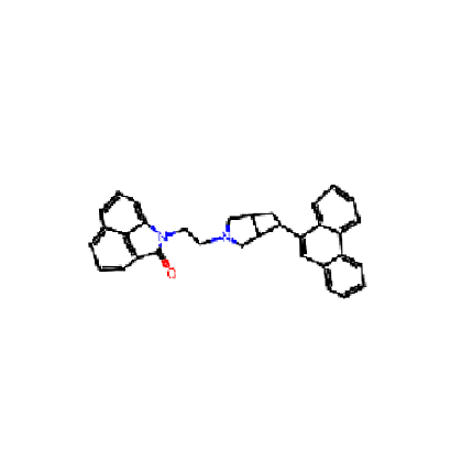 O=C1c2cccc3cccc(c23)N1CCN1CC2CC(c3cc4ccccc4c4ccccc34)C2C1